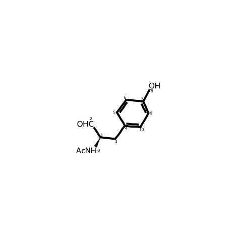 CC(=O)N[C@@H](C=O)Cc1ccc(O)cc1